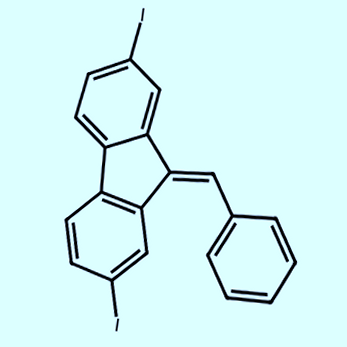 Ic1ccc2c(c1)C(=Cc1ccccc1)c1cc(I)ccc1-2